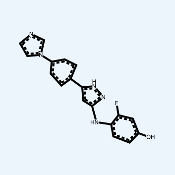 Oc1ccc(Nc2cc(-c3ccc(-n4ccnc4)cc3)[nH]n2)c(F)c1